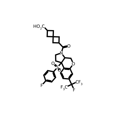 O=C(O)C1CC2(C1)CC(C(=O)N1CCC3(S(=O)(=O)c4ccc(F)cc4)c4ccc(C(F)(C(F)(F)F)C(F)(F)F)cc4OCC13)C2